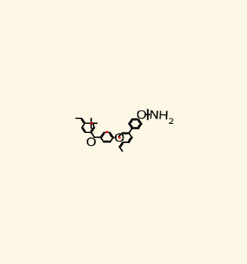 C\C=C(/C=C\C(=C/C)C(=O)C(/C=C\C(=C/C)C(C)(C)C)=C/C)OC(/C=C\C(=C/C)c1ccc(OC(C)(C)N)cc1)=C/C